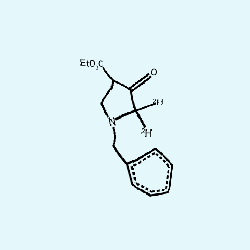 [2H]C1([2H])C(=O)C(C(=O)OCC)CN1Cc1ccccc1